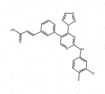 O=C(O)C=Cc1cccc(-c2cnc(Nc3ccc(F)c(Cl)c3)nc2-n2ccnn2)c1